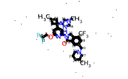 CC1CC(c2cc(OCC(F)F)nc(N3Cc4c(cc(CN5CCC[C@H](C)C5)cc4C(F)(F)F)C3=O)c2)(N2CN(C)CN2)C1